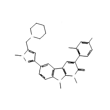 Cl.Cn1nc(-c2ccc3c(c2)c2cc(-c4ccc(Cl)cc4Cl)c(=O)n(C)c2n3C)cc1CN1CCCCC1